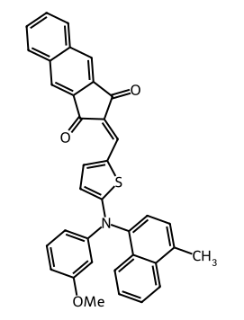 COc1cccc(N(c2ccc(C=C3C(=O)c4cc5ccccc5cc4C3=O)s2)c2ccc(C)c3ccccc23)c1